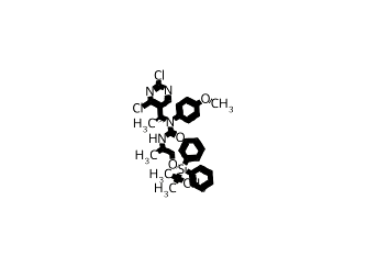 COc1ccc(N(C(=O)NC(C)CO[Si](c2ccccc2)(c2ccccc2)C(C)(C)C)[C@@H](C)c2cnc(Cl)nc2Cl)cc1